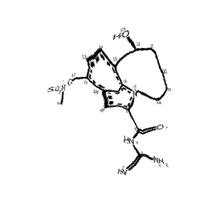 CS(=O)(=O)O.N=C(N)NC(=O)c1cc2c(Cl)ccc3c2n1CCCCC3O